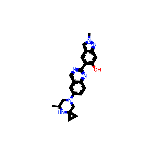 C[C@H]1CN(c2ccc3nc(-c4cc5cn(C)nc5cc4O)ncc3c2)CC2(CC2)N1